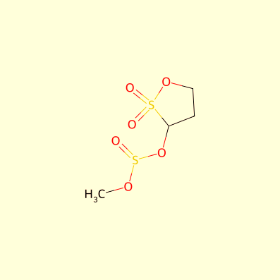 COS(=O)OC1CCOS1(=O)=O